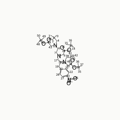 CC(C)(C)CN(CCN(CC(=O)OC(C)(C)C)CC(Cc1ccc([N+](=O)[O-])cc1)N(CC(=O)OC(C)(C)C)CC(C)(C)C)CC(=O)OC(C)(C)C